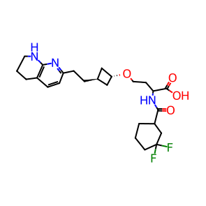 O=C(NC(CCO[C@H]1C[C@H](CCc2ccc3c(n2)NCCC3)C1)C(=O)O)C1CCCC(F)(F)C1